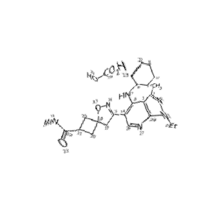 CCn1nc(C)c2c(NC3CCCCC3)c(C3=NOC4(C3)CC(C(=O)NC)C4)cnc21.O=C(O)O